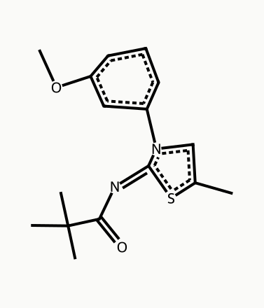 COc1cccc(-n2cc(C)sc2=NC(=O)C(C)(C)C)c1